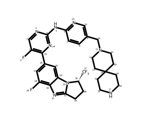 Fc1cnc(Nc2ccc(CN3CCC4(CCNCC4)CC3)cn2)nc1-c1cc(F)c2nc3n(c2c1)[C@H](C(F)(F)F)CC3